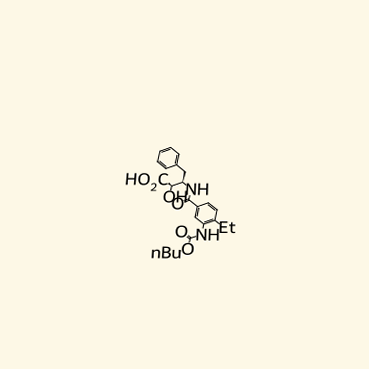 CCCCOC(=O)Nc1cc(C(=O)N[C@H](Cc2ccccc2)[C@@H](O)C(=O)O)ccc1CC